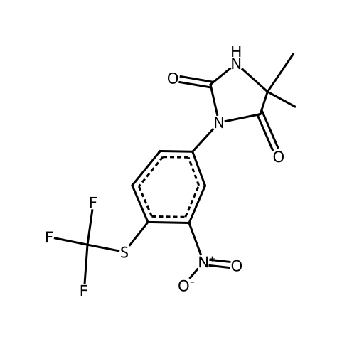 CC1(C)NC(=O)N(c2ccc(SC(F)(F)F)c([N+](=O)[O-])c2)C1=O